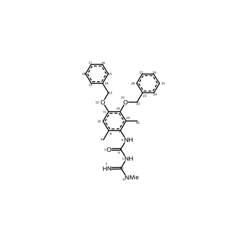 CNC(=N)NC(=O)Nc1c(C)cc(OCc2ccccc2)c(OCc2ccccc2)c1C